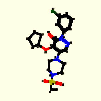 CCCC(C)S(=O)(=O)N1CCN(c2cnn(-c3cccc(Cl)c3)c(=O)c2OC2CCCC2)CC1